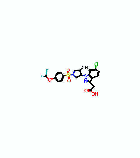 C[C@@H]1CN(S(=O)(=O)c2ccc(OC(F)F)cc2)C[C@@H]1n1nc(CC(=O)O)c2ccc(Cl)cc21